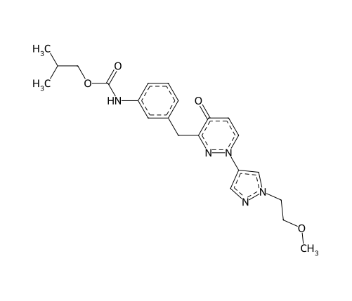 COCCn1cc(-n2ccc(=O)c(Cc3cccc(NC(=O)OCC(C)C)c3)n2)cn1